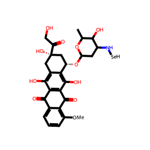 COc1cccc2c1C(=O)c1c(O)c3c(c(O)c1C2=O)C[C@@](O)(C(=O)CO)C[C@@H]3OC1CC(N[SeH])C(O)C(C)O1